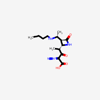 CCCCN[C@H](C)[C@H]1C(=O)N[C@@H]1C(C)C(=O)C(=[N+]=[N-])C(=O)O